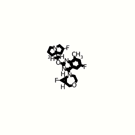 [2H]C([2H])(Oc1nc(N2CCOC[C@H]3[C@H](F)[C@H]32)c2cc(F)cc(C)c2n1)[C@@]12CCCN1C[C@H](F)C2